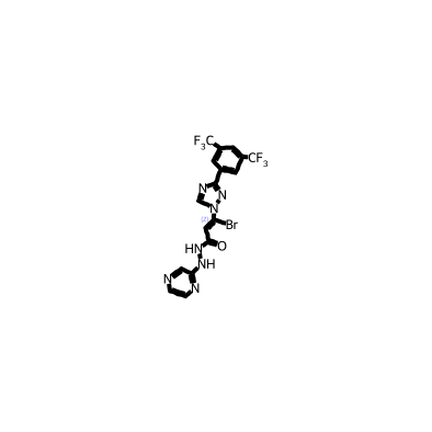 O=C(/C=C(\Br)n1cnc(-c2cc(C(F)(F)F)cc(C(F)(F)F)c2)n1)NNc1cnccn1